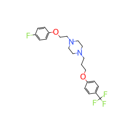 Fc1ccc(OCCN2CCN(CCCOc3ccc(C(F)(F)F)cc3)CC2)cc1